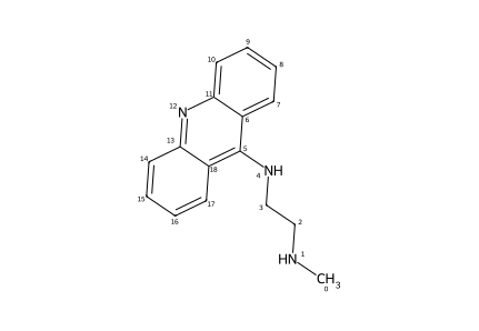 CNCCNc1c2ccccc2nc2ccccc12